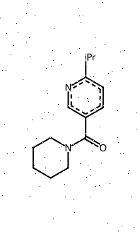 CC(C)c1ccc(C(=O)N2CCCCC2)cn1